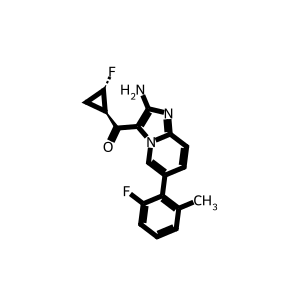 Cc1cccc(F)c1-c1ccc2nc(N)c(C(=O)[C@H]3C[C@@H]3F)n2c1